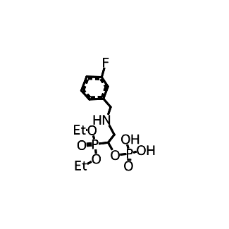 CCOP(=O)(OCC)C(CNCc1cccc(F)c1)OP(=O)(O)O